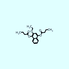 CCCC(=O)Oc1cc(OCC)c(OC(=O)CCC)c2ccccc12